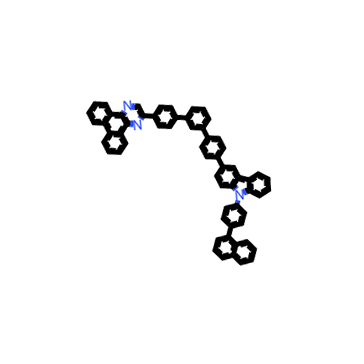 c1cc(-c2ccc(-c3ccc4c(c3)c3ccccc3n4-c3ccc(-c4cccc5ccccc45)cc3)cc2)cc(-c2ccc(-c3cnc4c5ccccc5c5ccccc5c4n3)cc2)c1